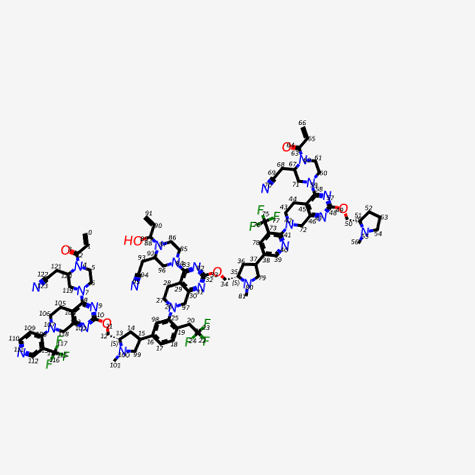 C=CC(=O)N1CCN(c2nc(OC[C@@H]3CC(c4ccc(CC(F)(F)F)c(N5CCc6c(nc(OC[C@@H]7CC(c8cnc(N9CCc%10c(nc(OC[C@@H]%11CCCN%11C)nc%10N%10CCN(C(=O)C=C)C(CC#N)C%10)C9)c(C(F)(F)F)c8)CN7C)nc6N6CCN(C(O)C=C)C(CC#N)C6)C5)c4)CN3C)nc3c2CCN(c2ccncc2C(F)(F)F)C3)CC1CC#N